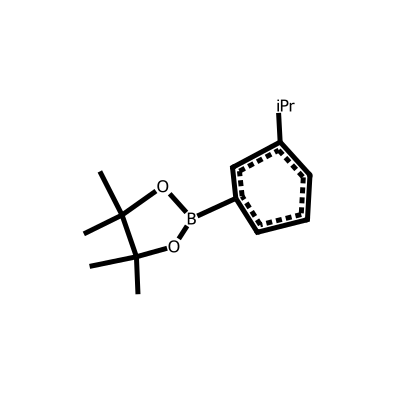 CC(C)c1cccc(B2OC(C)(C)C(C)(C)O2)c1